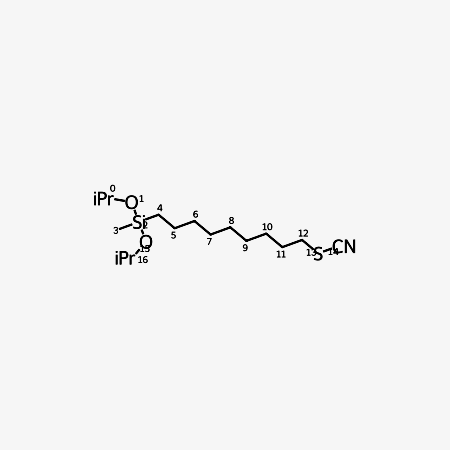 CC(C)O[Si](C)(CCCCCCCCCSC#N)OC(C)C